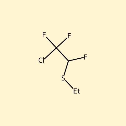 [CH2]CSC(F)C(F)(F)Cl